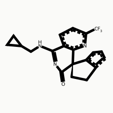 O=C1N=C(NCC2CC2)c2ccc(C(F)(F)F)nc2[C@@]12CCc1ccccc12